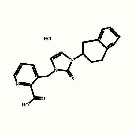 Cl.O=C(O)c1ncccc1Cn1ccn(C2CCc3ccccc3C2)c1=S